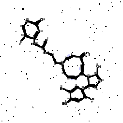 C=C1/C=C\N(CCNC(=O)Nc2nc(=O)[nH]cc2F)C/C=C\C(n2c(O)nnc2-c2cc(C(C)C)c(O)cc2O)=C/1